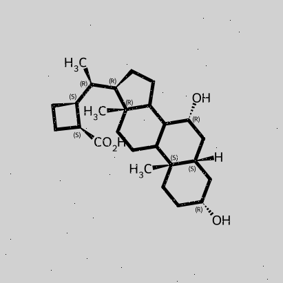 C[C@H]([C@@H]1CC[C@@H]1C(=O)O)[C@H]1CCC2C3C(CC[C@@]21C)[C@@]1(C)CC[C@@H](O)C[C@H]1C[C@H]3O